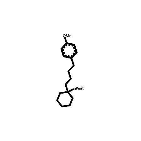 CCCCCC1(CCCCc2ccc(OC)cc2)CCCCC1